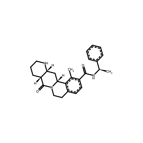 Cc1c(C(=O)N[C@H](C)c2ccccc2)ccc2c1[C@H]1C[C@H]3NCCC[C@H]3C(=O)N1CC2